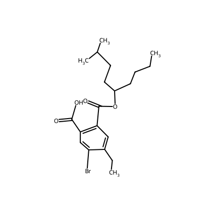 CCCCC(CCC(C)C)OC(=O)c1cc(CC)c(Br)cc1C(=O)O